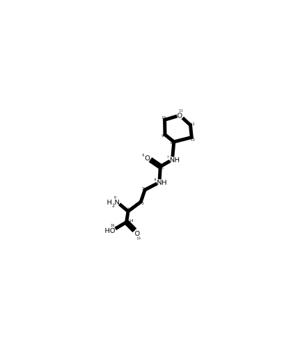 NC(CCNC(=O)NC1CCOCC1)C(=O)O